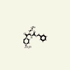 CCOC(=O)N1CCN(C(=O)[C@H](COC(C)(C)C)NC(=O)OCc2ccccc2)CC1